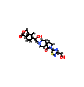 Cc1c([C@@H](O)CN2CCC3(CC2)CCN(c2nc(CO)ns2)C3=O)ccc2c1COC2=O